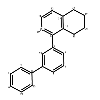 c1ccc(-c2cccc(-c3nccc4c3CCCC4)c2)cc1